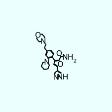 NC(=O)c1oc(-c2cn[nH]c2)cc1-c1ccc(CCN2CCOCC2)cc1N1CCCCC1